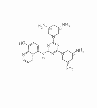 N[C@@H]1C[C@H](N)CN(c2nc(Nc3ccc(O)c4ncccc34)nc(N3C[C@H](N)C[C@H](N)C3)n2)C1